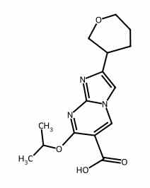 CC(C)Oc1nc2nc(C3CCCOC3)cn2cc1C(=O)O